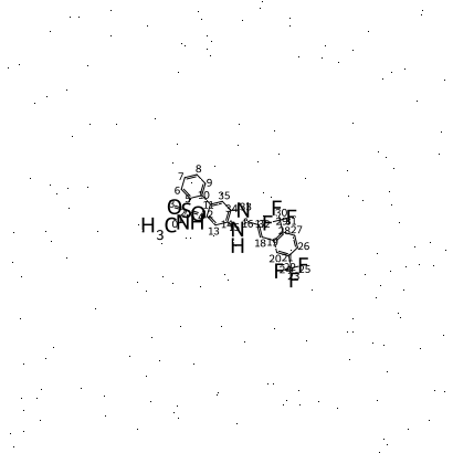 CNS(=O)(=O)c1ccccc1-c1ccc2[nH]c(C=Cc3cc(C(F)(F)F)ccc3C(F)(F)F)nc2c1